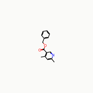 Cc1cc(C)c(C(=O)OCc2ccccc2)cn1